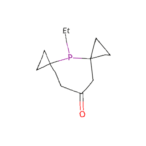 CCP1C2(CC2)CC(=O)CC12CC2